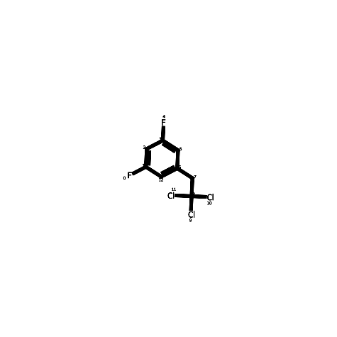 Fc1cc(F)cc(CC(Cl)(Cl)Cl)c1